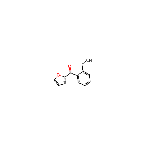 N#CCc1ccccc1C(=O)c1ccco1